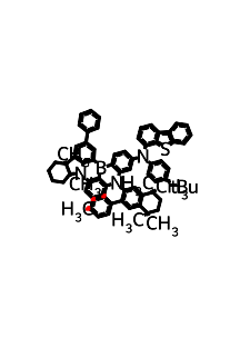 Cc1cc2c3c(c1)N1c4c(cc(-c5ccccc5)cc4C4(C)CCCCC14C)B3c1ccc(N(c3ccc(C(C)(C)C)cc3)c3cccc4c3sc3ccccc34)cc1N2c1cc2c(cc1-c1ccccc1)C(C)(C)CCC2(C)C